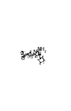 Nc1nc(C2CCCCC2)cc(N2CC3C(C2)C3[N+](=O)[O-])n1